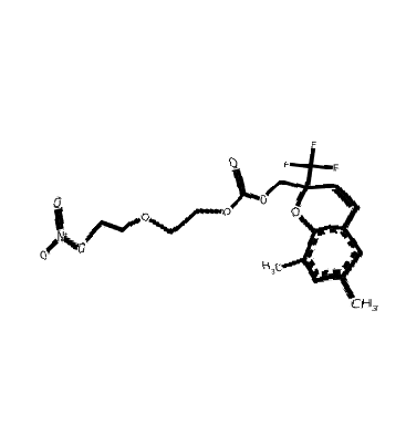 Cc1cc(C)c2c(c1)C=CC(COC(=O)OCCOCCO[N+](=O)[O-])(C(F)(F)F)O2